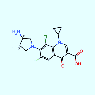 C[C@H]1CN(c2c(F)cc3c(=O)c(C(=O)O)cn(C4CC4)c3c2Cl)C[C@@H]1N